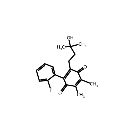 CC1=C(C)C(=O)C(c2ccccc2F)=C(CCC(C)(C)O)C1=O